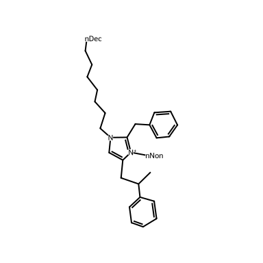 CCCCCCCCCCCCCCCCCn1cc(CC(C)c2ccccc2)[n+](CCCCCCCCC)c1Cc1ccccc1